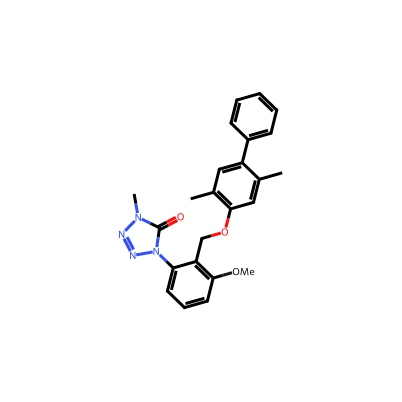 COc1cccc(-n2nnn(C)c2=O)c1COc1cc(C)c(-c2ccccc2)cc1C